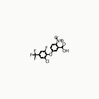 O=C(O)c1cc(Oc2c(F)cc(C(F)(F)F)cc2Cl)ccc1[N+](=O)[O-]